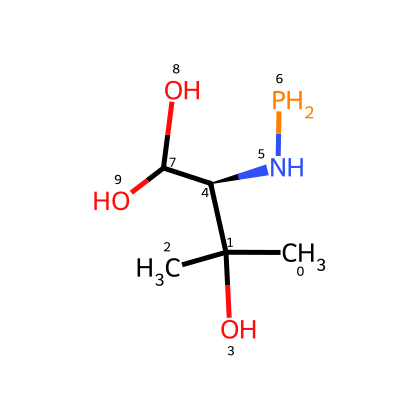 CC(C)(O)[C@H](NP)C(O)O